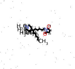 CCCCCCC(CCCCCN1C(=O)CCC1=O)C1CCN(C)C(C)(C)C1(C)C